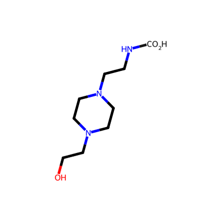 O=C(O)NCCN1CCN(CCO)CC1